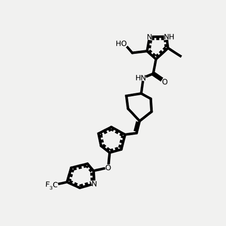 Cc1[nH]nc(CO)c1C(=O)NC1CCC(=Cc2cccc(Oc3ccc(C(F)(F)F)cn3)c2)CC1